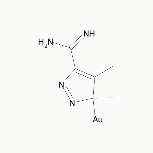 CC1=C(C(=N)N)N=N[C]1(C)[Au]